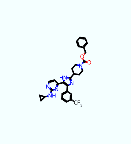 O=C(OCc1ccccc1)N1CCC(c2nc(-c3cccc(C(F)(F)F)c3)c(-c3ccnc(NC4CC4)n3)[nH]2)CC1